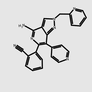 N#Cc1ccccc1-c1nc(N)c2cn(Cc3ccccn3)nc2c1-c1ccncc1